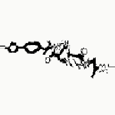 CC(CNC(=O)c1ncc(C(=O)NC(C)(C)c2ccc(-c3ccc(F)cc3)cc2)c(O)n1)C(=O)O